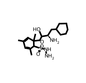 CC1=CC(C)(C(=O)C(O)[C@H](N)CC2CCCCC2)C(S(=O)(=O)NN)C(C)=C1